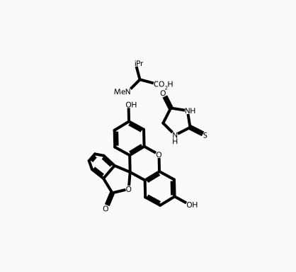 CNC(C(=O)O)C(C)C.O=C1CNC(=S)N1.O=C1OC2(c3ccc(O)cc3Oc3cc(O)ccc32)c2ccccc21